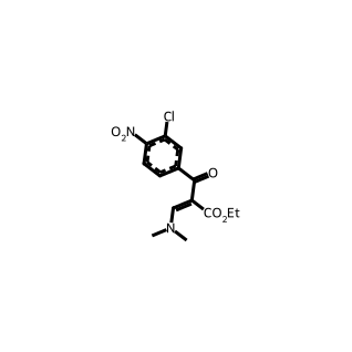 CCOC(=O)C(=CN(C)C)C(=O)c1ccc([N+](=O)[O-])c(Cl)c1